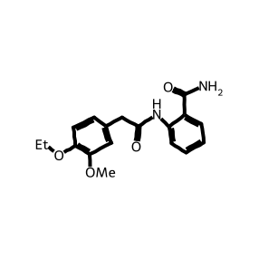 CCOc1ccc(CC(=O)Nc2ccccc2C(N)=O)cc1OC